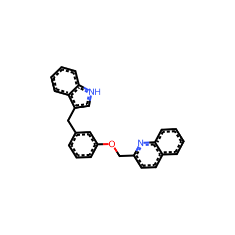 c1cc(Cc2c[nH]c3ccccc23)cc(OCc2ccc3ccccc3n2)c1